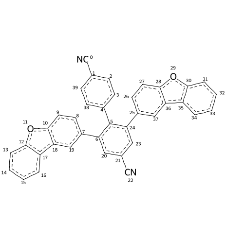 N#Cc1ccc(-c2c(-c3ccc4oc5ccccc5c4c3)cc(C#N)cc2-c2ccc3oc4ccccc4c3c2)cc1